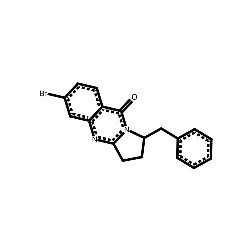 O=c1c2ccc(Br)cc2nc2n1C(Cc1ccccc1)CC2